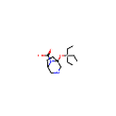 CC[Si](CC)(CC)OC12CCC(CNC1)N2C(=O)O